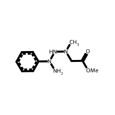 COC(=O)CN(C)NN(N)c1ccccc1